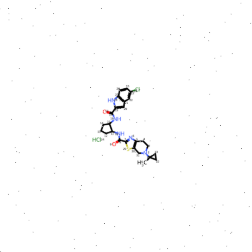 CC1(N2CCc3nc(C(=O)NC4CCCC4NC(=O)c4cc5cc(Cl)ccc5[nH]4)sc3C2)CC1.Cl